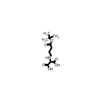 CC(C)(C)OC(=O)CCCNC(C(=O)O)C(=O)O